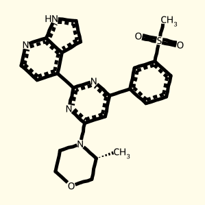 C[C@@H]1COCCN1c1cc(-c2cccc(S(C)(=O)=O)c2)nc(-c2ccnc3[nH]ccc23)n1